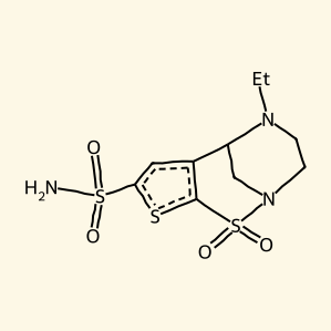 CCN1CCN2CC1c1cc(S(N)(=O)=O)sc1S2(=O)=O